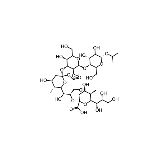 CC(C)O[C@@H]1OC(CO)[C@@H](O[C@@H]2OC(CO)[C@H](O)[C@H](O[C@]3(OC=O)CC(O)[C@@H](C)C([C@H](O)[C@@H](CO)O[C@]4(C(=O)O)CC(O)[C@@H](C)C([C@H](O)[C@H](O)CO)O4)O3)C2O)[C@H](O)C1O